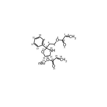 C=CC(=O)OCCC1(c2ccccc2)NCCO1.C=CC(=O)OCCCC